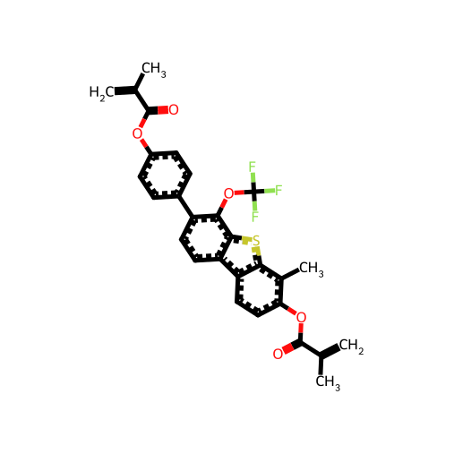 C=C(C)C(=O)Oc1ccc(-c2ccc3c(sc4c(C)c(OC(=O)C(=C)C)ccc43)c2OC(F)(F)F)cc1